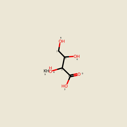 O=C(O)C(O)C(O)CO.[KH]